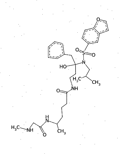 CNCC(=O)NC(C)CCCC(=O)NCCC(O)(Cc1ccccc1)N(CC(C)C)S(=O)(=O)c1ccc2occc2c1